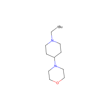 CC(C)(C)CN1CCC(N2CCOCC2)CC1